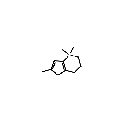 CC1=CC2=C([CH]1)CCC[Si]2(C)C